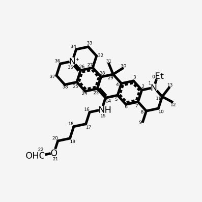 CCN1c2cc3c(cc2C(C)CC1(C)C)C(NCCCCCOC=O)=c1cc2c4c(c1C3(C)C)CCC[N+]=4CCC2